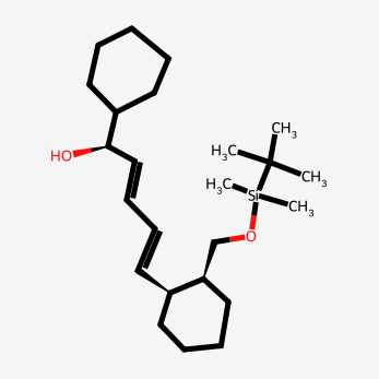 CC(C)(C)[Si](C)(C)OC[C@H]1CCCC[C@H]1/C=C/C=C/[C@@H](O)C1CCCCC1